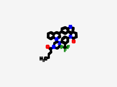 CCCCC(=O)N1CCN(c2ccc(-n3c(=O)ccc4cnc5ccc(-c6cnc7ccccc7c6)cc5c43)cc2C(F)(F)F)CC1